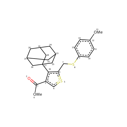 COC(=O)c1csc(CSc2ccc(OC)cc2)c1C12CC3CC(CC(C3)C1)C2